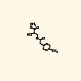 COC(=O)C(O)COC(=O)Cc1ccc(C)cc1